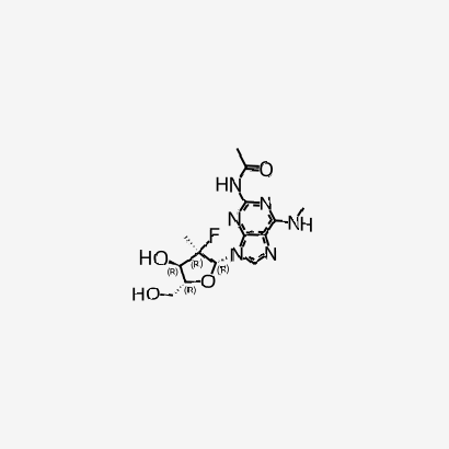 CNc1nc(NC(C)=O)nc2c1ncn2[C@@H]1O[C@H](CO)[C@@H](O)[C@@]1(C)F